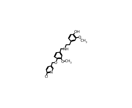 COc1cc(CCNCc2ccc(OCc3ccc(Cl)nc3)c(OC)c2)ccc1O